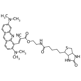 CN(C)c1ccc2cc3ccc(N(C)C)c(/C=C(\C#N)C(=O)OCCNC(=O)CCCCC4SCC5NC(=O)NC54)c3nc2c1